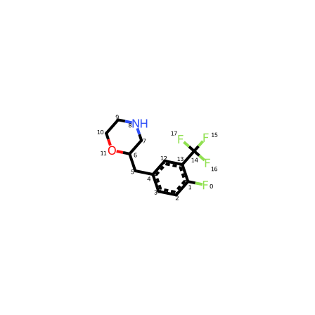 Fc1ccc(CC2CNCCO2)cc1C(F)(F)F